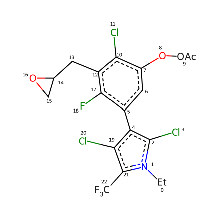 CCn1c(Cl)c(-c2cc(OOC(C)=O)c(Cl)c(CC3CO3)c2F)c(Cl)c1C(F)(F)F